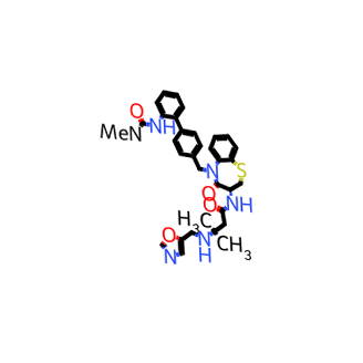 CNC(=O)Nc1ccccc1-c1ccc(CN2C(=O)[C@H](NC(=O)CC(C)(C)NCc3cnco3)CSc3ccccc32)cc1